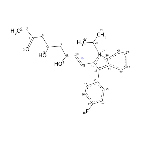 CCC(=O)CC(O)CC(O)/C=C/c1c(-c2ccc(F)cc2)c2ccccc2n1C(C)C